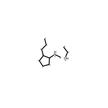 CCCC1CCCC1NC.CCO